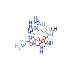 C[C@H](NC(=O)[C@H](C)NC(=O)[C@H](Cc1c[nH]cn1)NC(=O)CCN)C(=O)N[C@@H](C)C(=O)N[C@@H](CCCNC(=N)N)C(=O)O